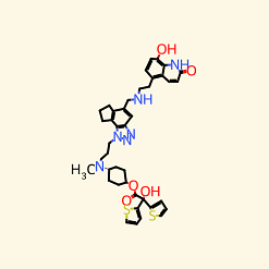 CN(CCCn1nnc2cc(CNCCc3ccc(O)c4[nH]c(=O)ccc34)c3c(c21)CCC3)[C@H]1CC[C@H](OC(=O)C(O)(c2cccs2)c2cccs2)CC1